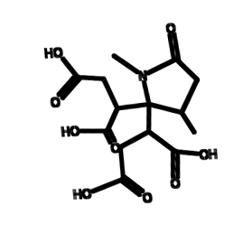 CC1CC(=O)N(C)C1(C(CC(=O)O)C(=O)O)C(CC(=O)O)C(=O)O